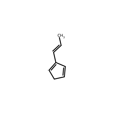 CC=CC1=[C]CC=C1